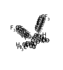 C[N+](C)(C)CCOP(=O)(O)OC[C@H]1O[C@@H](n2ccc(=O)[nH]c2=O)[C@H](OC(=O)CCC(F)(F)C(F)(F)C(F)(F)C(F)(F)C(F)(F)C(F)(F)C(F)(F)C(F)(F)F)[C@@H]1OC(=O)CCC(F)(F)C(F)(F)C(F)(F)C(F)(F)C(F)(F)C(F)(F)C(F)(F)C(F)(F)F